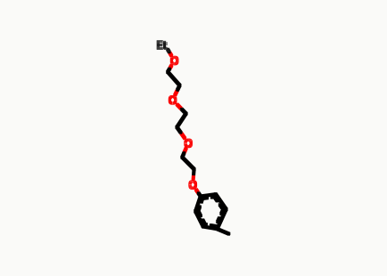 [CH2]COCCOCCOCCOc1ccc(C)cc1